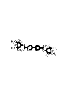 CC1(C)CC(OC(=O)c2ccc(C3CCC(C(=O)OC4CC(C)(C)NC(C)(C)C4)OC3)cc2)CC(C)(C)N1